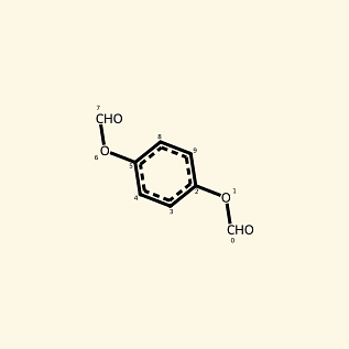 O=COc1ccc(OC=O)cc1